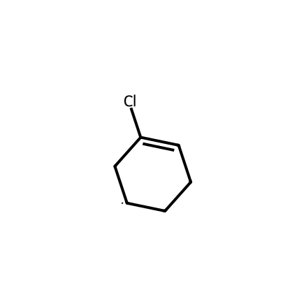 ClC1=CCC[CH]C1